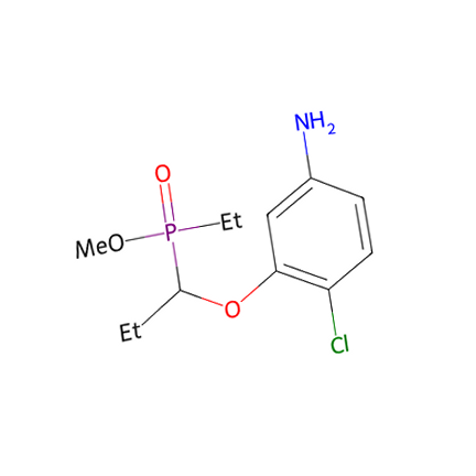 CCC(Oc1cc(N)ccc1Cl)P(=O)(CC)OC